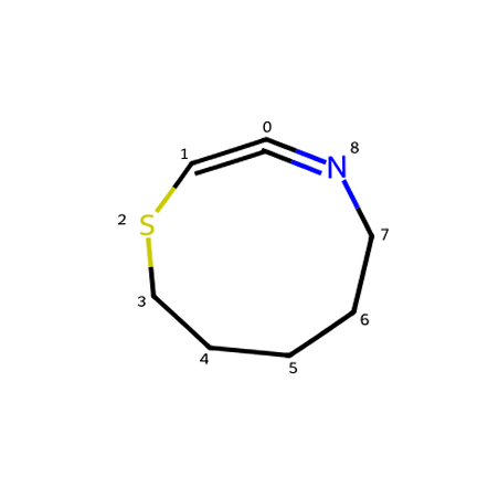 C1=CSCCCCCN=1